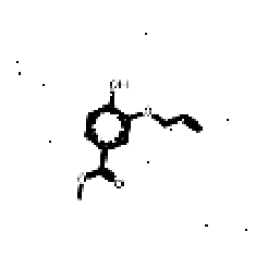 C=CCOc1cc(C(=O)OC)ccc1O